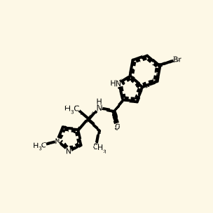 CCC(C)(NC(=O)c1cc2cc(Br)ccc2[nH]1)c1cnn(C)c1